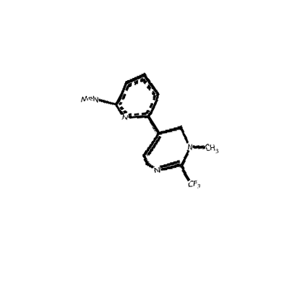 CNc1cccc(C2=CN=C(C(F)(F)F)N(C)C2)n1